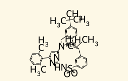 Cc1cccc(C)c1-c1cc2nc(n1)NS(=O)(=O)c1cccc(c1)C1C(C)C[C@@H]3[C@@H]1c1ccc(C(C)(C)C)cc1CN23